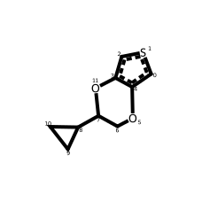 c1scc2c1OCC(C1CC1)O2